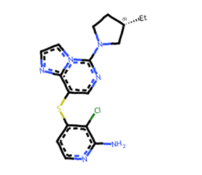 CC[C@H]1CCN(c2ncc(Sc3ccnc(N)c3Cl)c3nccn23)C1